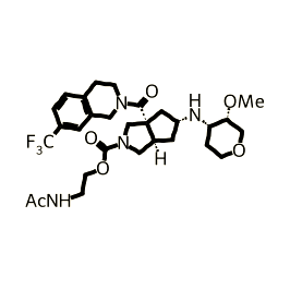 CO[C@@H]1COCC[C@@H]1N[C@@H]1C[C@H]2CN(C(=O)OCCNC(C)=O)C[C@@]2(C(=O)N2CCc3ccc(C(F)(F)F)cc3C2)C1